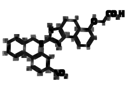 O=C(O)COc1cccc2c1CCc1sc(SCc3ccccc3-c3ccc([N+](=O)[O-])cc3)nc1-2